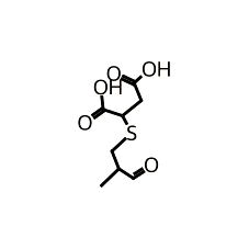 CC(C=O)CSC(CC(=O)O)C(=O)O